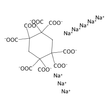 O=C([O-])C1(C(=O)[O-])CC(C(=O)[O-])(C(=O)[O-])C(C(=O)[O-])(C(=O)[O-])CC1(C(=O)[O-])C(=O)[O-].[Na+].[Na+].[Na+].[Na+].[Na+].[Na+].[Na+].[Na+]